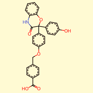 O=C(O)c1ccc(COc2ccc(C3(c4ccc(O)cc4)Oc4ccccc4NC3=O)cc2)cc1